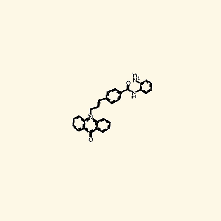 Nc1ccccc1NC(=O)c1ccc(C=CCn2c3ccccc3c(=O)c3ccccc32)cc1